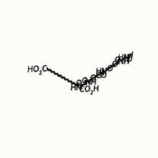 O=C(O)CCCCCCCCCCCCCCCCCCC(=O)N[C@@H](CCC(=O)NCCOCCOCC(=O)NCCOCCOCC(=O)NCCNC(=O)CI)C(=O)O